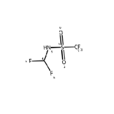 O=S(=O)(NC(F)F)C(F)(F)F